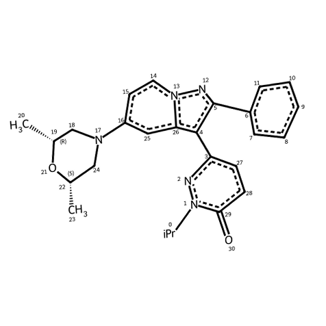 CC(C)n1nc(-c2c(-c3ccccc3)nn3ccc(N4C[C@@H](C)O[C@@H](C)C4)cc23)ccc1=O